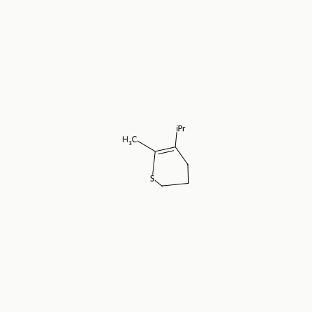 CC1=C(C(C)C)CCCS1